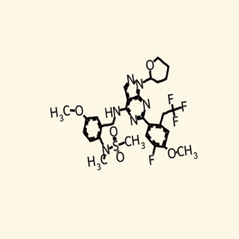 COc1ccc(N(C)S(C)(=O)=O)c(CNc2nc(-c3cc(F)c(OC)cc3CC(F)(F)F)nc3c2cnn3C2CCCCO2)c1